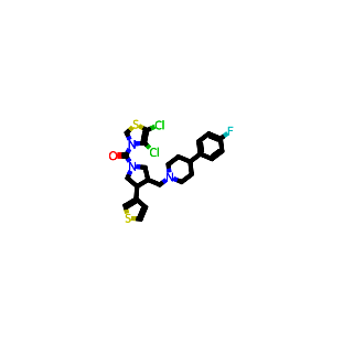 O=C(N1CC(CN2CCC(c3ccc(F)cc3)CC2)C(c2ccsc2)C1)N1CSC(Cl)=C1Cl